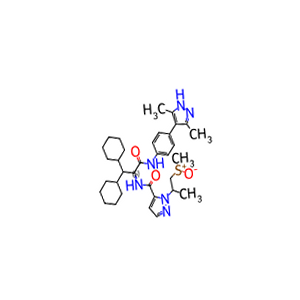 Cc1n[nH]c(C)c1-c1ccc(NC(=O)[C@@H](NC(=O)c2ccnn2C(C)C[S+](C)[O-])C(C2CCCCC2)C2CCCCC2)cc1